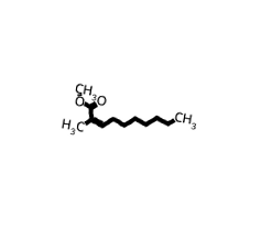 CCCCCCCC=C(C)C(=O)OC